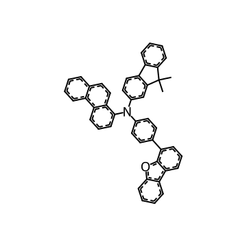 CC1(C)c2ccccc2-c2ccc(N(c3ccc(-c4cccc5c4oc4ccccc45)cc3)c3cccc4c3ccc3ccccc34)cc21